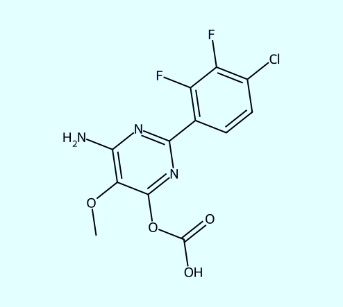 COc1c(N)nc(-c2ccc(Cl)c(F)c2F)nc1OC(=O)O